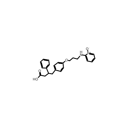 O=C(O)CC(Cc1ccc(OCCCNc2cccc[n+]2[O-])cc1)c1ccccc1